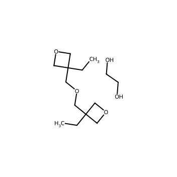 CCC1(COCC2(CC)COC2)COC1.OCCO